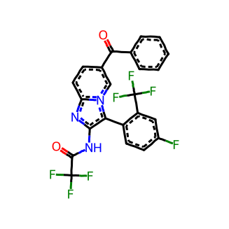 O=C(c1ccccc1)c1ccc2nc(NC(=O)C(F)(F)F)c(-c3ccc(F)cc3C(F)(F)F)n2c1